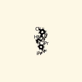 CC(C)[C@@H]1C[C@H](N(C)C(C)C)CC[C@@H]1N1CCC(Nc2ncnc3ccc(Cl)cc23)C1=O